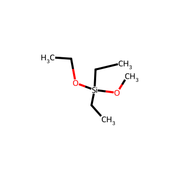 CCO[Si](CC)(CC)OC